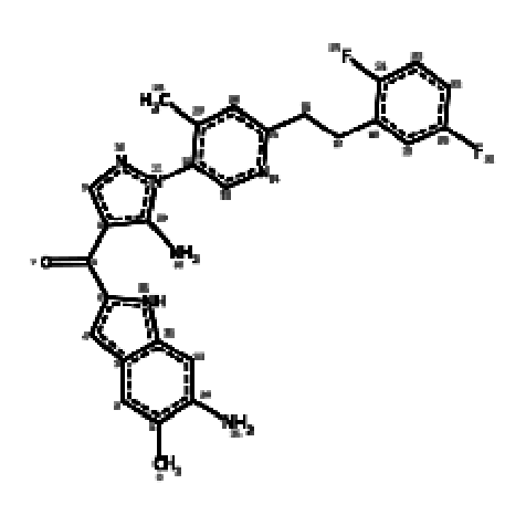 Cc1cc2cc(C(=O)c3cnn(-c4cnc(CCc5cc(F)ccc5F)cc4C)c3N)[nH]c2cc1N